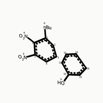 CCCCc1cccc([N+](=O)[O-])c1[N+](=O)[O-].Oc1ccccc1